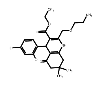 CCOC(=O)C1=C(COCCN)NC2=C(C(=O)CC(C)(C)C2)C1c1ccc(Cl)cc1Cl